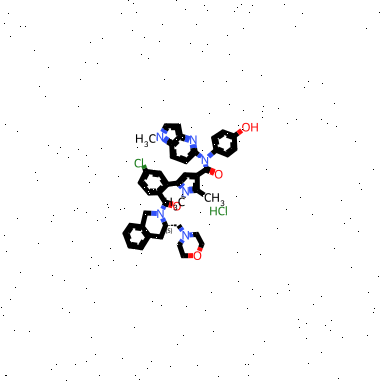 Cc1c(C(=O)N(c2ccc(O)cc2)c2ccc3c(ccn3C)n2)cc(-c2cc(Cl)ccc2C(=O)N2Cc3ccccc3C[C@H]2CN2CCOCC2)n1C.Cl